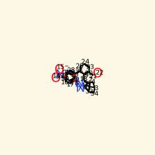 CC1(C)C2Cc3c(nn(-c4ccc([N+](=O)[O-])cc4)c3-c3c(C=O)cccc3-c3ccccc3)C1C2